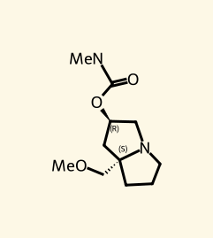 CNC(=O)O[C@H]1CN2CCC[C@@]2(COC)C1